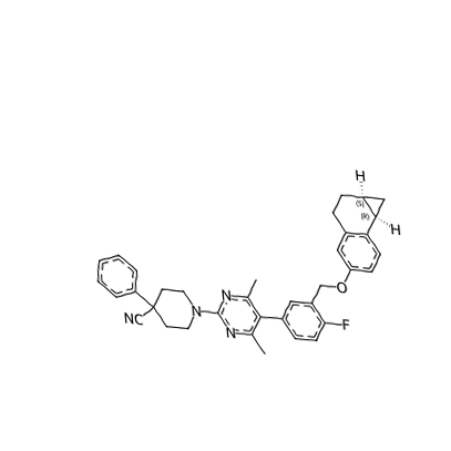 Cc1nc(N2CCC(C#N)(c3ccccc3)CC2)nc(C)c1-c1ccc(F)c(COc2ccc3c(c2)CC[C@H]2C[C@@H]32)c1